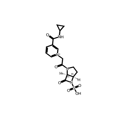 O=C(NC1CC1)c1ccc[n+](CC(=O)N2CC[C@@H]3[C@H]2C(=O)N3S(=O)(=O)O)c1